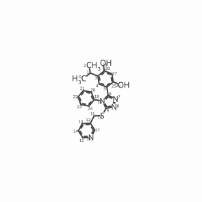 CC(C)c1cc(-c2nnc(SCc3cccnc3)n2-c2ccccc2)c(O)cc1O